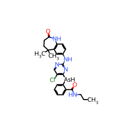 CCCNC(=O)c1ccccc1[AsH]c1nc(Nc2ccc3c(c2)C(C)(C)CCC(=O)N3)ncc1Cl